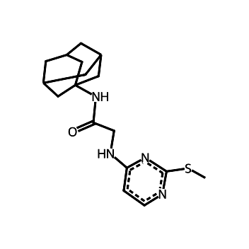 CSc1nccc(NCC(=O)NC23CC4CC(CC(C4)C2)C3)n1